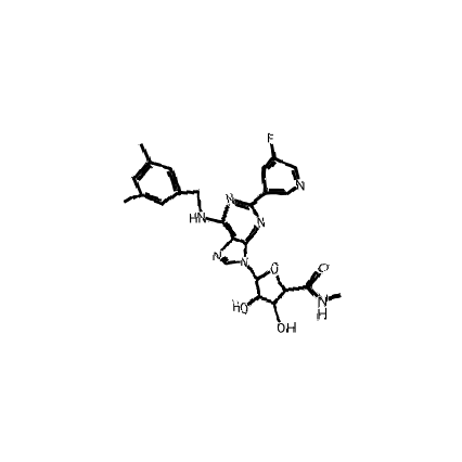 CNC(=O)C1OC(n2cnc3c(NCc4cc(C)cc(C)c4)nc(-c4cncc(F)c4)nc32)C(O)C1O